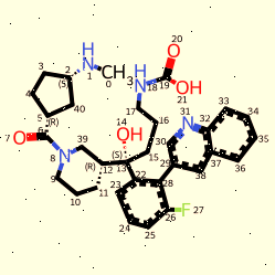 CN[C@H]1CC[C@@H](C(=O)N2CCC[C@@H]([C@@](O)(CCCNC(=O)O)c3cccc(F)c3-c3cnc4ccccc4c3)C2)C1